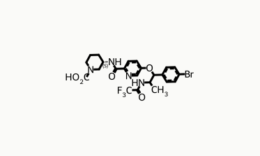 CC(NC(=O)C(F)(F)F)C(Oc1ccc(C(=O)N[C@H]2CCCN(C(=O)O)C2)nc1)c1ccc(Br)cc1